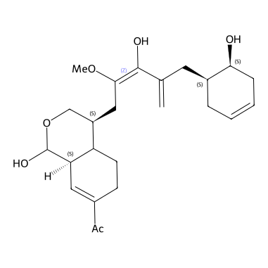 C=C(C[C@@H]1CC=CC[C@@H]1O)/C(O)=C(\C[C@@H]1COC(O)[C@@H]2C=C(C(C)=O)CCC12)OC